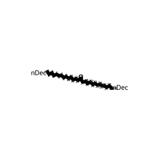 CCCCCCCCCCCCCCCCCCCCCCCCC(=O)CCCCCCCCCCCCCCCCCCCCCCC